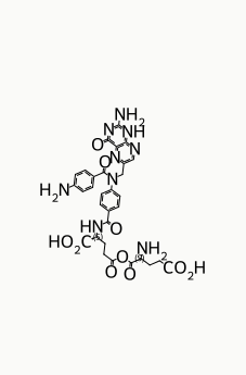 Nc1ccc(C(=O)N(Cc2cnc3[nH]c(N)nc(=O)c3n2)c2ccc(C(=O)N[C@@H](CCC(=O)OC(=O)[C@@H](N)CCC(=O)O)C(=O)O)cc2)cc1